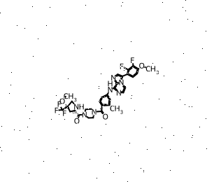 COc1ccc(-c2cnc3c(Nc4ccc(C(=O)N5CCN(C(=O)[C@@H]6C[C@@](OC)(C(F)(F)F)CN6)CC5)c(C)c4)nccn23)c(F)c1F